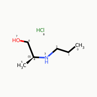 CCCN[C@@H](C)CO.Cl